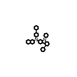 c1ccc(-c2ccc(N(c3ccc4ccccc4c3)c3ccc4c5c(-c6ccccc6)cccc5n(-c5ccccc5)c4c3)cc2)cc1